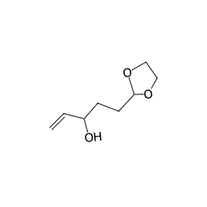 C=CC(O)CCC1OCCO1